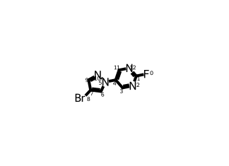 Fc1ncc(-n2cc(Br)cn2)cn1